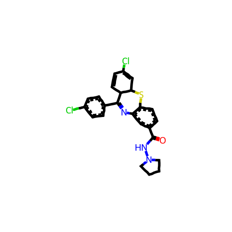 O=C(NN1CCCC1)c1ccc2c(c1)N=C(c1ccc(Cl)cc1)C1C=CC(Cl)=CC1S2